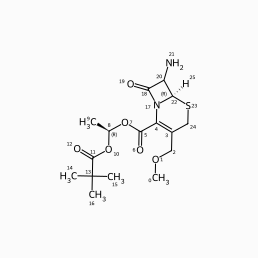 COCC1=C(C(=O)O[C@H](C)OC(=O)C(C)(C)C)N2C(=O)C(N)[C@H]2SC1